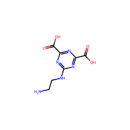 NCCNc1nc(C(=O)O)nc(C(=O)O)n1